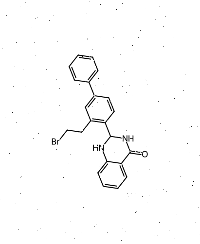 O=C1NC(c2ccc(-c3ccccc3)cc2CCBr)Nc2ccccc21